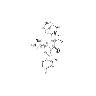 Cc1ccc(-c2cc(C(=O)N[C@H](C)CN3CCC4(CCOC4)CC3)cc(-n3cnnn3)c2)c(Cl)c1